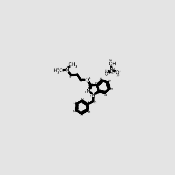 CN(C)CCCOc1nn(Cc2ccccc2)c2ccccc12.O=[N+]([O-])O